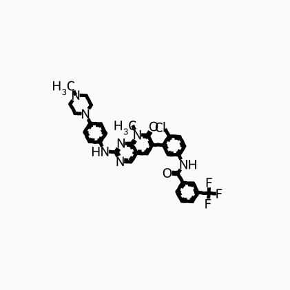 CN1CCN(c2ccc(Nc3ncc4cc(-c5cc(NC(=O)c6cccc(C(F)(F)F)c6)ccc5Cl)c(=O)n(C)c4n3)cc2)CC1